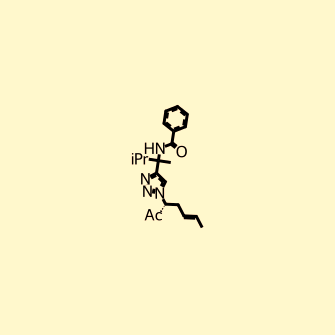 C/C=C/C[C@H](C(C)=O)n1cc(C(C)(NC(=O)c2ccccc2)C(C)C)nn1